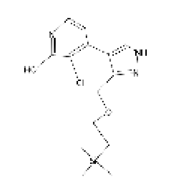 C[Si](C)(C)CCOCc1n[nH]cc1-c1ccnc(O)c1Cl